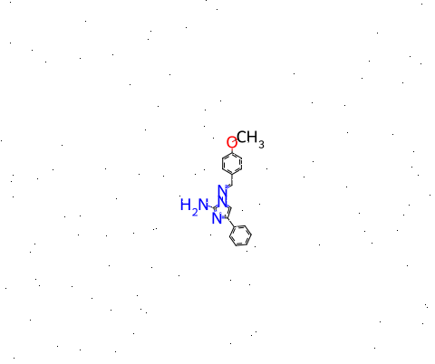 COc1ccc(C=Nn2cc(-c3ccccc3)nc2N)cc1